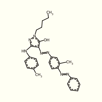 CCCCCn1nc(Nc2ccc(C)cc2)c(/N=N/c2ccc(/N=N/c3ccccc3)c(C)c2)c1O